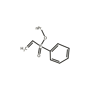 C=CP(=O)(OCCC)c1ccccc1